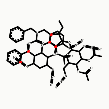 CCC1OC(OC2C(OC)C(N=[N+]=[N-])CC(N=[N+]=[N-])C2OC2OC(CN(Cc3ccccc3)C(=O)OCc3ccccc3)CCC2N=[N+]=[N-])C(OC(C)=O)C1OC1OC(CN=[N+]=[N-])C(OC(C)=O)C(OC(C)=O)C1N=[N+]=[N-]